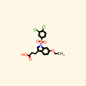 CCOc1ccc2c(CCC(=O)O)cn(S(=O)(=O)c3ccc(Cl)c(Cl)c3)c2c1